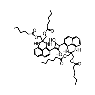 CCCCCC(=O)OCC1(COC(=O)CCCCC)Nc2cccc3ccc(C4=C(O)C(c5ccc6cccc7c6c5NC(COC(=O)CCCCC)(COC(=O)CCCCC)N7)C4O)c(c23)N1